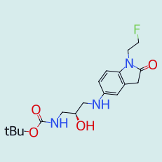 CC(C)(C)OC(=O)NC[C@H](O)CNc1ccc2c(c1)CC(=O)N2CCF